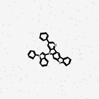 c1ccc(-c2cnc3c4cc5c(cc4n(-c4cn(-c6ccccc6)c6ccccc46)c3c2)sc2ccccc25)cc1